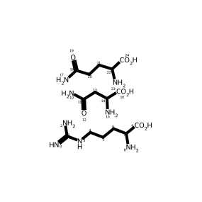 N=C(N)NCCCC(N)C(=O)O.NC(=O)CC(N)C(=O)O.NC(=O)CCC(N)C(=O)O